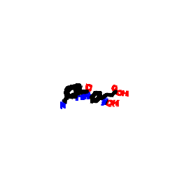 N#Cc1cccc(C(=O)Nc2ccc(/C(CCC(=O)O)=N/O)cc2)c1